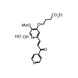 CCOC(=O)CCCOc1cc(C=CC(=O)c2ccncc2)ncc1OC.Cl.Cl